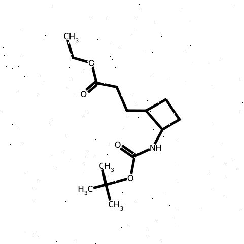 CCOC(=O)CCC1CCC1NC(=O)OC(C)(C)C